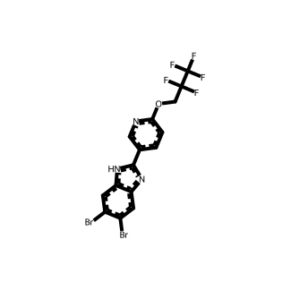 FC(F)(F)C(F)(F)COc1ccc(-c2nc3cc(Br)c(Br)cc3[nH]2)cn1